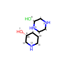 C1CNCCN1.Cl.O[C@@H]1CCCNC1